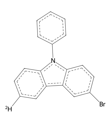 [2H]c1ccc2c(c1)c1cc(Br)ccc1n2-c1ccccc1